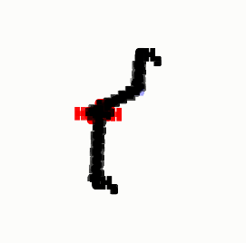 CCCCCCCC/C=C\CCCCCCCC(=O)O[C@@H](CO)C(O)C(=O)CCCCCCCCCCCCCCC